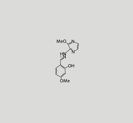 COc1ccc(/C=N/Nc2nccnc2OC)c(O)c1